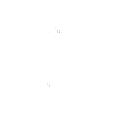 CCC(C)C(C)NC(=O)C1CCCN1C(=O)CCCCCCC/C=C/CCNC=O